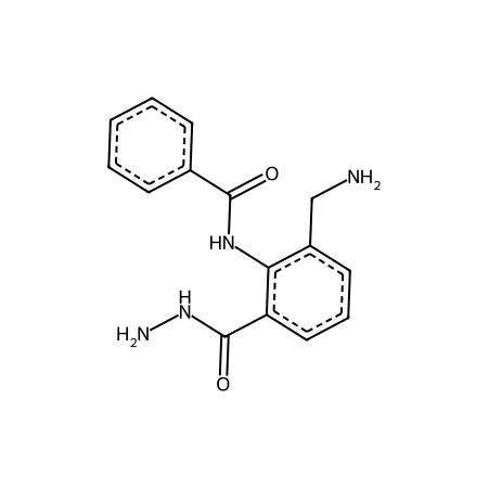 NCc1cccc(C(=O)NN)c1NC(=O)c1ccccc1